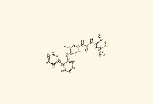 Cc1cc(NC(=O)Nc2cc(C(F)(F)F)ccc2Cl)ccc1Oc1ncccc1-c1ccncn1